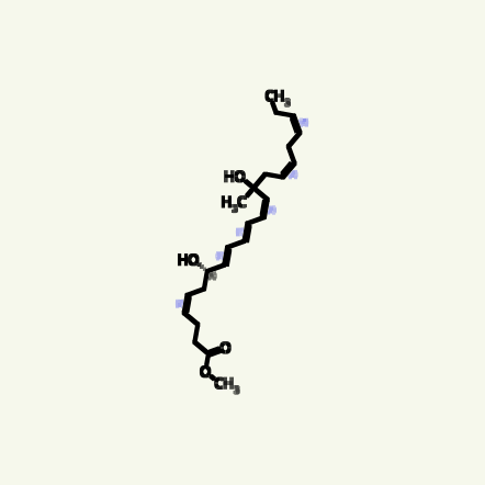 CC/C=C\C/C=C\CC(C)(O)\C=C/C=C/C=C/[C@@H](O)C/C=C\CCC(=O)OC